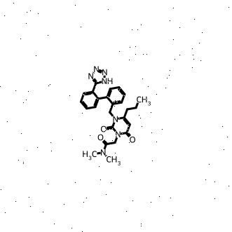 CCCc1cc(=O)n(CC(=O)N(C)C)c(=O)n1Cc1ccccc1-c1ccccc1-c1nnn[nH]1